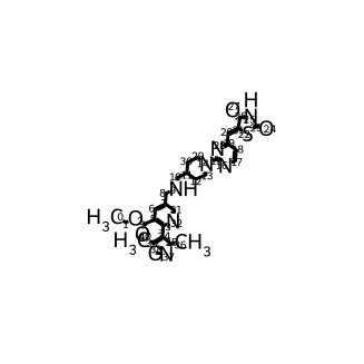 CCOC(=O)c1cc(CNCC2CCN(c3nccc(/C=C4\SC(=O)NC4=O)n3)CC2)cnc1-c1c(C)noc1C